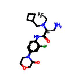 NC[C@H](C(=O)Nc1ccc(N2CCOCC2=O)cc1F)N(CC1CCC1)CC(F)(F)F